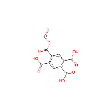 O=COC(=O)c1cc(C(=O)O)c(C(=O)O)cc1C(=O)O